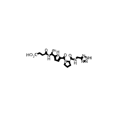 CC(C)C(NC(=O)CCC(=O)O)c1ccc(C(=O)N2CCC[C@H]2C(=O)NCc2nn[nH]n2)[nH]1